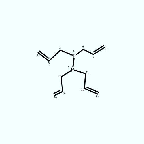 C=CCP(CC=C)P(CC=C)CC=C